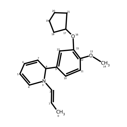 CC=CN1C=CC=CC1c1ccc(OC)c(OC2CCCC2)c1